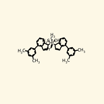 CCC[CH]=[Hf]([CH3])([CH3])([CH3])([CH]1C=Cc2c(-c3cc(C)cc(C)c3)cccc21)[CH]1C=Cc2c(-c3cc(C)cc(C)c3)cccc21